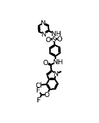 Cn1c(C(=O)Nc2ccc(S(=O)(=O)Nc3cnccn3)cc2)cc2c(Cl)c(OC(F)F)ccc21